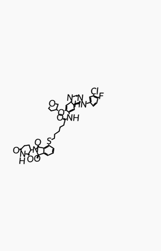 O=C1CCC(N2C(=O)c3cccc(SCCCCCC(=O)Nc4cc5c(Nc6ccc(F)c(Cl)c6)ncnc5cc4OC4CCOC4)c3C2=O)C(=O)N1